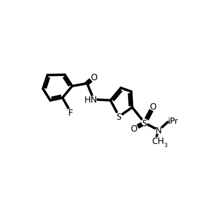 CC(C)N(C)S(=O)(=O)c1ccc(NC(=O)c2ccccc2F)s1